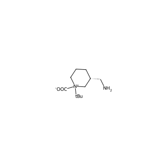 CC(C)(C)[N+]1(C(=O)[O-])CCC[C@H](CN)C1